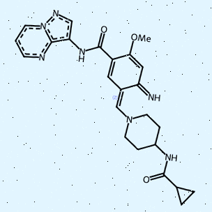 COC1=CC(=N)/C(=C\N2CCC(NC(=O)C3CC3)CC2)C=C1C(=O)Nc1cnn2cccnc12